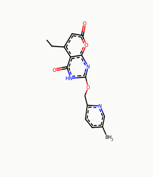 Bc1ccc(COc2nc3oc(=O)cc(CC)c3c(=O)[nH]2)nc1